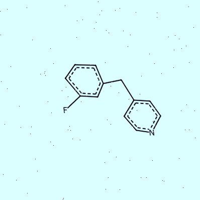 Fc1cccc(Cc2ccncc2)c1